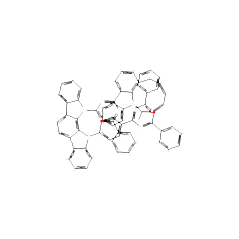 CC1/C=C\C=C/Cc2cccc(-c3nc(-c4ccccc4)nc(-n4c5ccccc5c5ccc6c7ccccc7n(-c7ccc(-c8nc(-c9ccccc9)nc(-c9ccccc9)n8)cc7)c6c54)n3)c2N1c1ccccc1